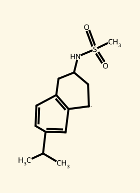 CC(C)c1ccc2c(c1)[CH]CC(NS(C)(=O)=O)C2